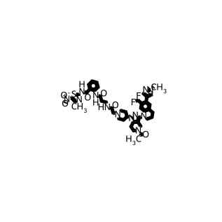 CC(=O)N1CCc2c(c(N3CCCc4cc(-c5cnn(C)c5)c(C(F)F)cc43)nn2C2CCN(CC(=O)NCCC(=O)Nc3ccccc3C(=O)Nc3nc(C)c([N+](=O)[O-])s3)CC2)C1